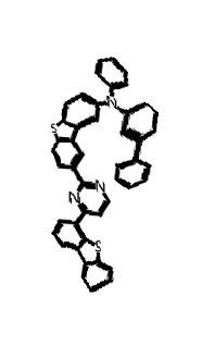 c1ccc(-c2cccc(N(c3ccccc3)c3ccc4sc5ccc(-c6nccc(-c7cccc8c7sc7ccccc78)n6)cc5c4c3)c2)cc1